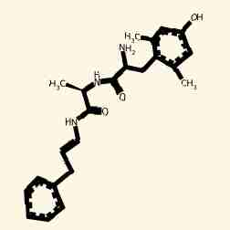 Cc1cc(O)cc(C)c1CC(N)C(=O)N[C@H](C)C(=O)NC=CCc1ccccc1